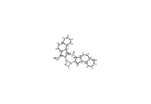 Cn1c(C2CCC2c2nc3c4cccnc4ccc3n2C)nc2c3ccccc3ccc21